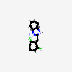 Clc1cccc(Cl)c1Cc1nc2ccccc2[nH]1